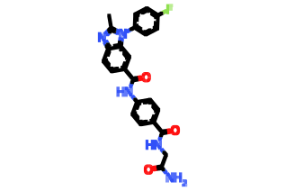 Cc1nc2ccc(C(=O)Nc3ccc(C(=O)NCC(N)=O)cc3)cc2n1-c1ccc(F)cc1